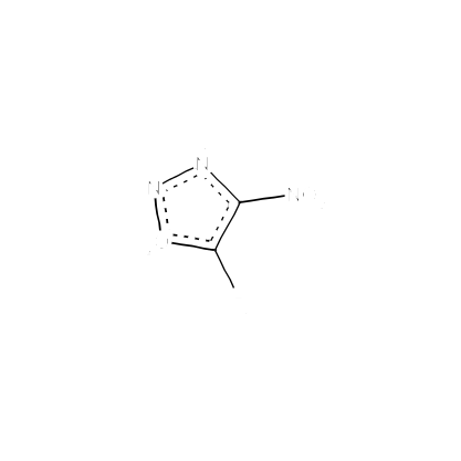 O=[N+]([O-])c1nnoc1F